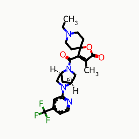 CCN1CCC2(CC1)OC(=O)C(C)=C2C(=O)N1C[C@@H]2C[C@H]1CN2c1cc(C(F)(F)F)ccn1